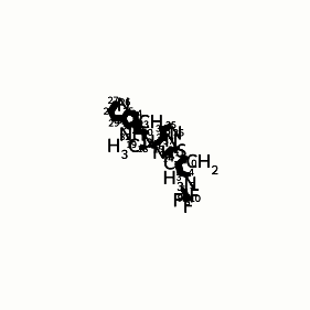 C=C(/C=C\C=N/CC(F)(F)F)Sc1c(C)nc(N(CC)CCC2(C)Cc3ncccc3[C@H]2N)c2ccnn12